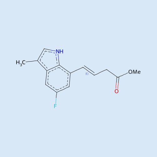 COC(=O)C/C=C/c1cc(F)cc2c(C)c[nH]c12